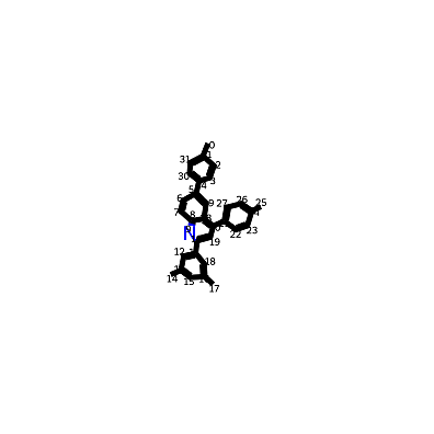 Cc1ccc(-c2ccc3nc(-c4cc(C)cc(C)c4)cc(-c4ccc(C)cc4)c3c2)cc1